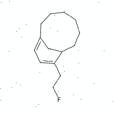 FCCC1=CC=C2CCCCCCC1C2